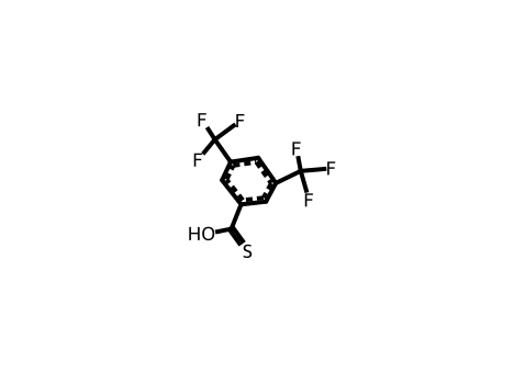 OC(=S)c1cc(C(F)(F)F)cc(C(F)(F)F)c1